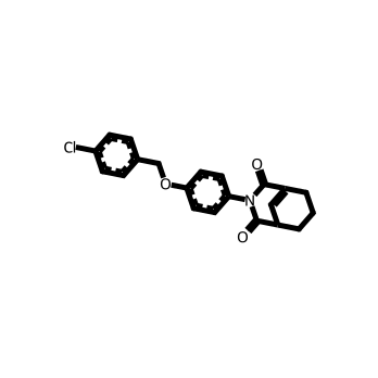 O=C1C2=CC(CCC2)C(=O)N1c1ccc(OCc2ccc(Cl)cc2)cc1